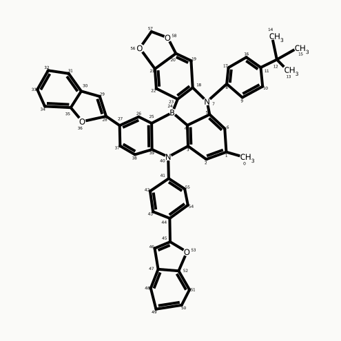 Cc1cc2c3c(c1)N(c1ccc(C(C)(C)C)cc1)c1cc4c(cc1B3c1cc(-c3cc5ccccc5o3)ccc1N2c1ccc(-c2cc3ccccc3o2)cc1)OCO4